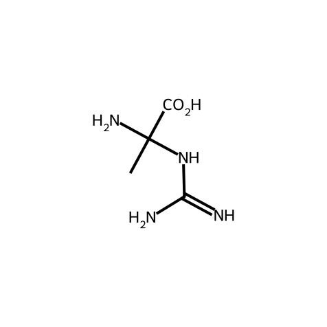 CC(N)(NC(=N)N)C(=O)O